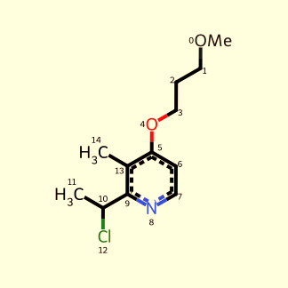 COCCCOc1ccnc(C(C)Cl)c1C